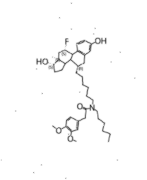 CCCCCCN(CCCCCC[C@@H]1Cc2cc(O)ccc2C2C1C1CC[C@H](O)[C@@]1(C)C[C@@H]2F)C(=O)Cc1ccc(OC)c(OC)c1